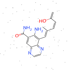 C=C(O)/C=C\C(C)=C\c1c(N)c(C(N)=O)cc2nccnc12